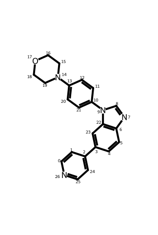 c1cc(-c2ccc3ncn(-c4ccc(N5CCOCC5)cc4)c3c2)ccn1